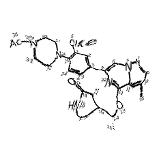 COc1cc(-c2cn3ncc(C)c3c(O[C@H](C)C3CNC(=O)C3)n2)ccc1N1CCN(C(C)=O)CC1